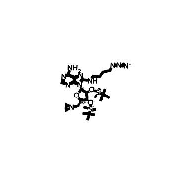 CC(C)(C)[Si](C)(C)OC1[C@H](n2c(NCCCCN=[N+]=[N-])nc3c(N)ncnc32)O[C@H](CN2CC2)[C@H]1O[Si](C)(C)C(C)(C)C